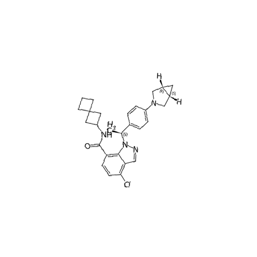 C[C@@H](c1ccc(N2C[C@H]3C[C@H]3C2)cc1)n1ncc2c(Cl)ccc(C(=O)NC3CC4(CCC4)C3)c21